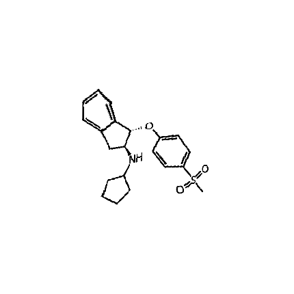 CS(=O)(=O)c1ccc(O[C@H]2c3ccccc3C[C@@H]2NC2CCCC2)cc1